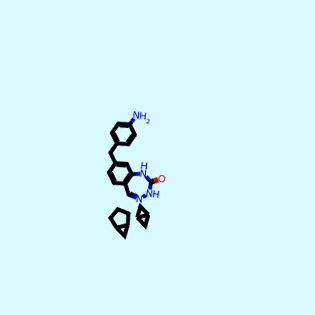 C1C2CC12.C1CC2CC2C1.Nc1ccc(Cc2ccc3c(c2)NC(=O)NN=C3)cc1